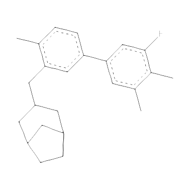 Cc1ccc(-c2cc(C)c(C)c(F)c2)cc1CC1CC2CCC(C2)C1